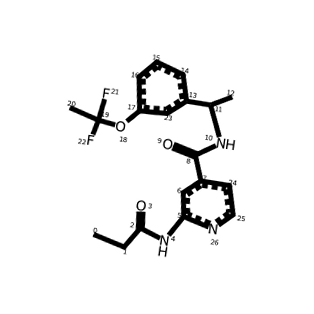 CCC(=O)Nc1cc(C(=O)NC(C)c2cccc(OC(C)(F)F)c2)ccn1